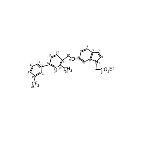 CCOC(=O)Cn1ccc2ccc(OCc3ccc(-c4cccc(C(F)(F)F)c4)nc3C)cc21